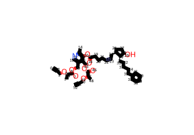 C#CCOC(C)C(=O)OCc1cnc(C)c(OC(=O)CCC/C=C\C[C@H]2CC[C@@H](O)[C@@H]2CCCCCc2ccccc2)c1COC(=O)C(C)OCC#C